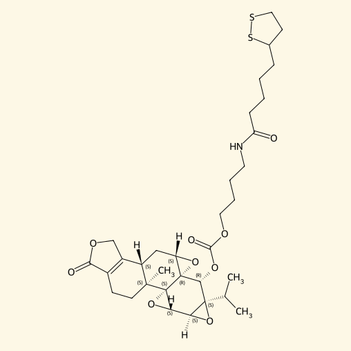 CC(C)[C@]12O[C@H]1[C@@H]1O[C@]13[C@]1(O[C@H]1C[C@H]1C4=C(CC[C@@]13C)C(=O)OC4)[C@@H]2OC(=O)OCCCCNC(=O)CCCCC1CCSS1